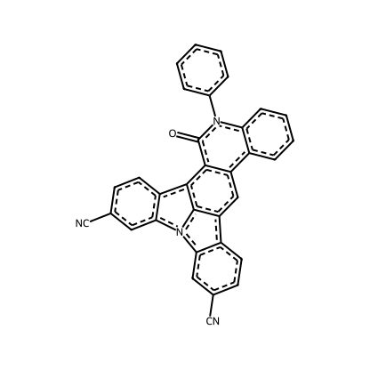 N#Cc1ccc2c3cc4c5ccccc5n(-c5ccccc5)c(=O)c4c4c5ccc(C#N)cc5n(c2c1)c34